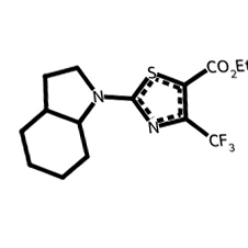 CCOC(=O)c1sc(N2CCC3CCCCC32)nc1C(F)(F)F